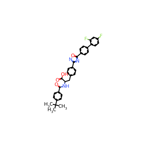 CC(C)(C)c1ccc(C(=O)NC(Cc2ccc(-c3noc(-c4ccc(-c5ccc(F)cc5F)cc4)n3)cc2)C(=O)O)cc1